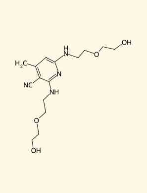 Cc1cc(NCCOCCO)nc(NCCOCCO)c1C#N